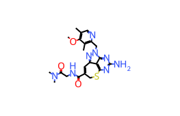 COc1c(C)cnc(Cn2nc3c4c(nc(N)nc42)SCC(C(=O)NCC(=O)N(C)C)=C3)c1C